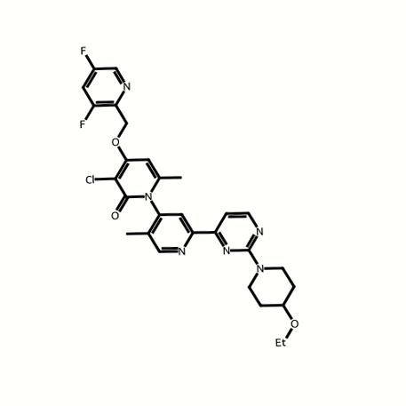 CCOC1CCN(c2nccc(-c3cc(-n4c(C)cc(OCc5ncc(F)cc5F)c(Cl)c4=O)c(C)cn3)n2)CC1